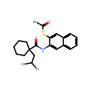 CCC(CC)CC1(C(=O)Nc2cc3ccccc3cc2SC(=O)C(C)C)CCCCC1